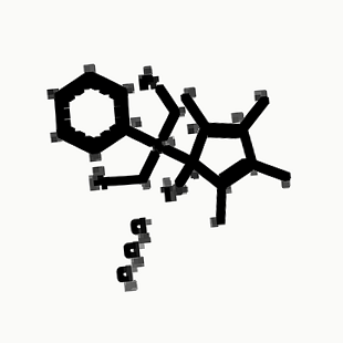 CC1=C(C)[C]([Ti+3])([Si](CC(C)C)(CC(C)C)c2ccccc2)C(C)=C1C.[Cl-].[Cl-].[Cl-]